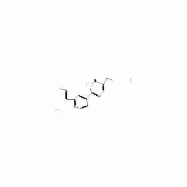 CC=Cc1cc(-c2ccc(CC(=O)O)c(=O)[nH]2)ccc1OC